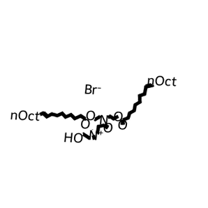 CCCCCCCCC=CCCCCCCCC(=O)OCCN(CCOC(=O)CCCCCCCC=CCCCCCCCC)C(=O)CC[N+](C)(C)CCO.[Br-]